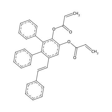 C=CC(=O)Oc1cc(C=Cc2ccccc2)c(-c2ccccc2)c(-c2ccccc2)c1OC(=O)C=C